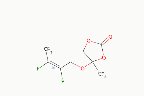 O=C1OCC(OC/C(F)=C(/F)C(F)(F)F)(C(F)(F)F)O1